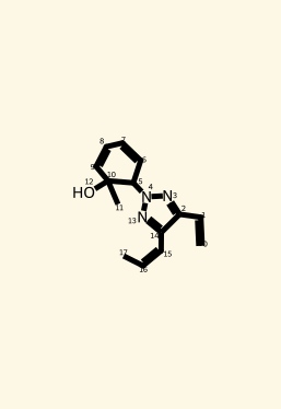 C=Cc1nn(C2C=CC=CC2(C)O)nc1/C=C\C